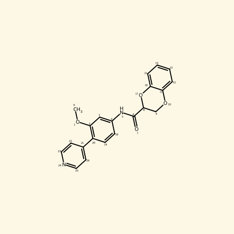 COc1cc(NC(=O)C2COc3ccccc3O2)ccc1-c1ccncc1